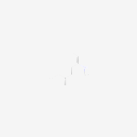 C=C(CC/C(=C\CC)NCCCCCC)SCCCCCC